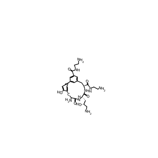 NCCNC(=O)c1cc2cc(c1)-c1ccc(O)c(c1)C[C@H](N)C(=O)N[C@@H](C[C@@H](O)CN)C(=O)N[C@H](C(=O)NCCN)C2